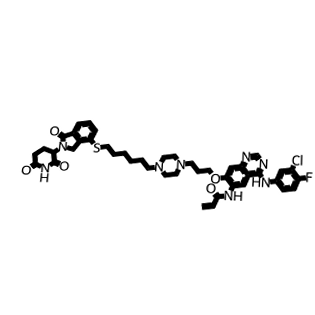 C=CC(=O)Nc1cc2c(Nc3ccc(F)c(Cl)c3)ncnc2cc1OCCCN1CCN(CCCCCCSc2cccc3c2CN(C2CCC(=O)NC2=O)C3=O)CC1